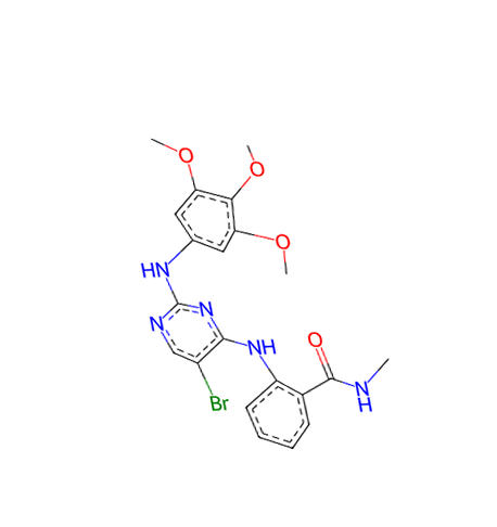 CNC(=O)c1ccccc1Nc1nc(Nc2cc(OC)c(OC)c(OC)c2)ncc1Br